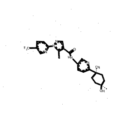 Cc1c(C(=O)Nc2ccc([C@]3(C#N)CC[C@](C)(O)CC3)nc2)cnn1-c1ccc(C(F)(F)F)cn1